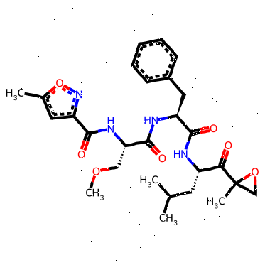 COC[C@H](NC(=O)c1cc(C)on1)C(=O)N[C@@H](Cc1ccccc1)C(=O)N[C@@H](CC(C)C)C(=O)C1(C)CO1